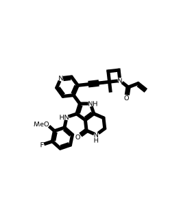 C=CC(=O)N1CCC1(C)C#Cc1cnccc1-c1[nH]c2c(c1Nc1cccc(F)c1OC)C(=O)NCC2